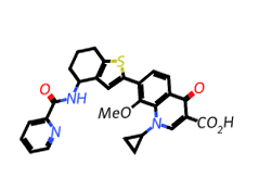 COc1c(-c2cc3c(s2)CCCC3NC(=O)c2ccccn2)ccc2c(=O)c(C(=O)O)cn(C3CC3)c12